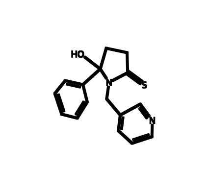 OC1(c2ccccc2)CCC(=S)N1Cc1cccnc1